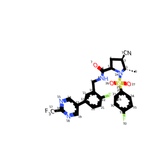 C[C@H]1[C@H](C#N)CC(C(=O)NCc2cc(-c3cnc(C(F)(F)F)nc3)ccc2F)N1S(=O)(=O)c1ccc(F)cc1